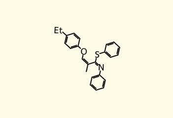 CCc1ccc(OC=C(C)/C(=N\c2ccccc2)Sc2ccccc2)cc1